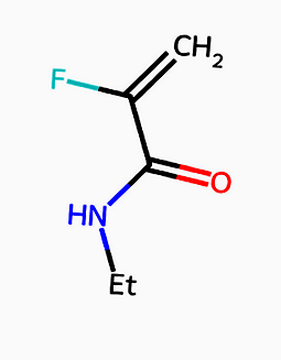 C=C(F)C(=O)NCC